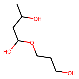 CC(O)CC(O)OCCCO